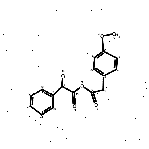 COc1ccc(CC(=O)OC(=O)C(Cl)c2ccccc2)cc1